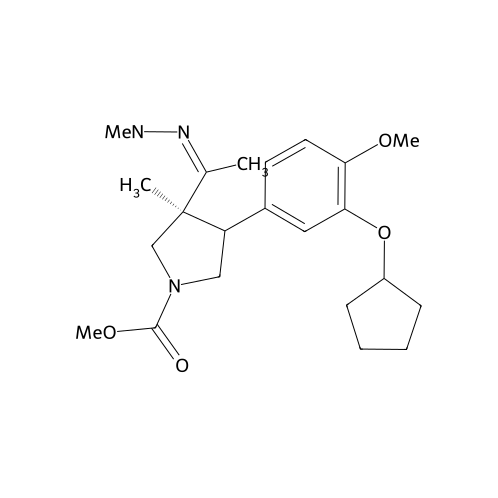 CNN=C(C)[C@]1(C)CN(C(=O)OC)CC1c1ccc(OC)c(OC2CCCC2)c1